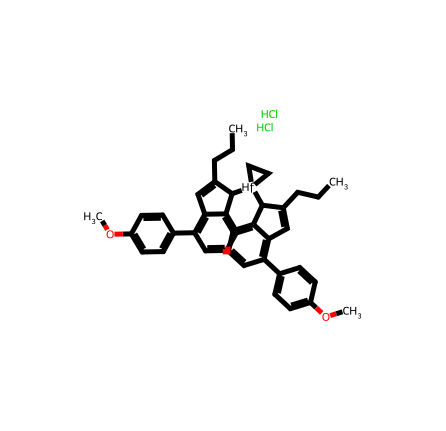 CCCC1=Cc2c(-c3ccc(OC)cc3)cccc2[CH]1[Hf]1([CH]2C(CCC)=Cc3c(-c4ccc(OC)cc4)cccc32)[CH2][CH2]1.Cl.Cl